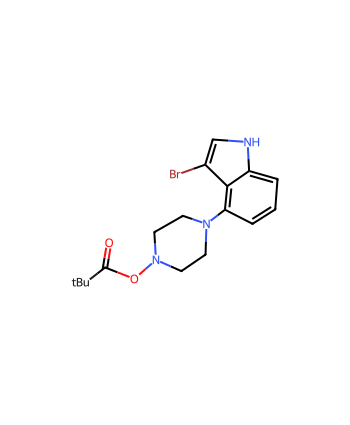 CC(C)(C)C(=O)ON1CCN(c2cccc3[nH]cc(Br)c23)CC1